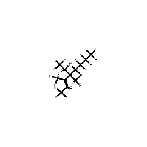 F/C(=C(/C(F)(F)F)C(C(F)(F)F)(C(F)(F)C(F)(F)F)C(F)(F)C(F)(F)C(F)(F)C(F)(F)F)C(F)(F)F